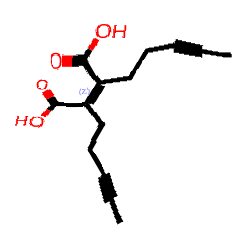 CC#CCC/C(C(=O)O)=C(\CCC#CC)C(=O)O